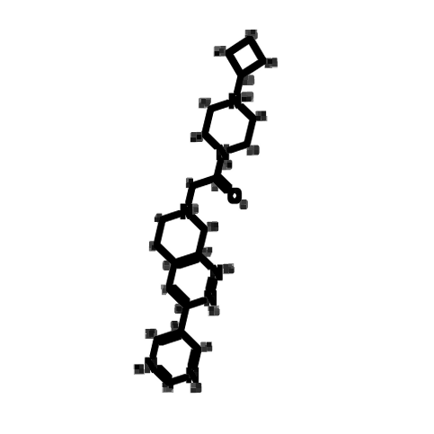 O=C(CN1CCc2cc(-c3cncnc3)nnc2C1)N1CCN(C2CCC2)CC1